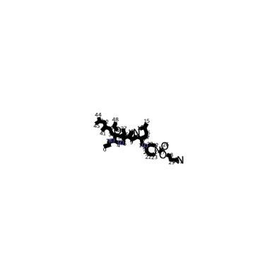 C=C/C=C(\C=C/C(=C)c1cc2n(c1)CC(=C)CC=C2/C=C1/CCCN(C(=O)OCCC#N)CC1)C(CCC)(CCC(=C)CC(C)C)OCC